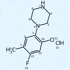 Cc1cc(N2CCNCC2)c(Cl)cc1F.Cl